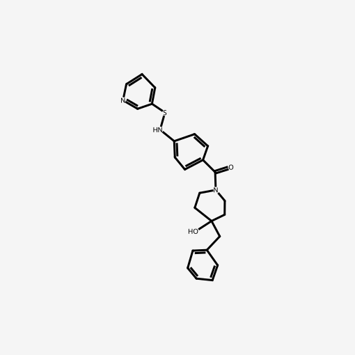 O=C(c1ccc(NSc2cccnc2)cc1)N1CCC(O)(Cc2ccccc2)CC1